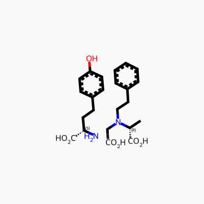 C[C@H](C(=O)O)N(CCc1ccccc1)CC(=O)O.N[C@@H](CCc1ccc(O)cc1)C(=O)O